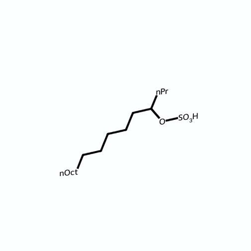 CCCCCCCCCCCCCC(CCC)OS(=O)(=O)O